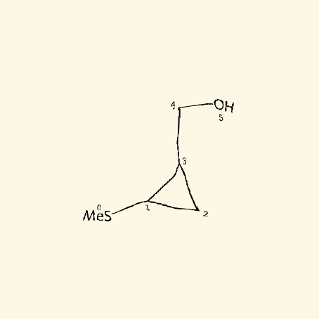 CSC1CC1[CH]O